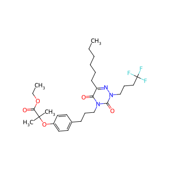 CCCCCCc1nn(CCCC(F)(F)F)c(=O)n(CCCc2ccc(OC(C)(C)C(=O)OCC)cc2)c1=O